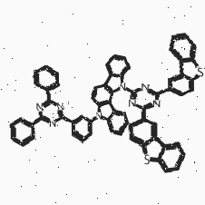 c1ccc(-c2nc(-c3ccccc3)nc(-c3cccc(-n4c5ccccc5c5c4ccc4c6ccccc6n(-c6nc(-c7ccc8sc9ccccc9c8c7)nc(-c7ccc8sc9ccccc9c8c7)n6)c45)c3)n2)cc1